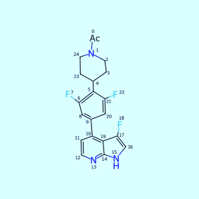 CC(=O)N1CCC(c2c(F)cc(-c3ccnc4[nH]cc(F)c34)cc2F)CC1